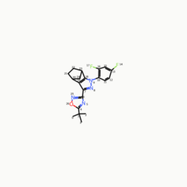 CC(C)(C)c1nc(-c2nn(-c3ccc(F)cc3F)c3c2C2CCC3C2)no1